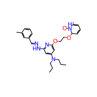 CCCN(CCC)c1cc(N/N=C/c2cccc(C)c2)nc(OCCOC2C=CC=C[NH+]2[O-])c1